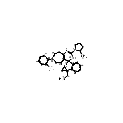 CC1CCCN1C1=NC2=C(CCN(c3ncccc3C(F)(F)F)CC2)C(N)(c2ccccc2C2(CN)CC2)N1